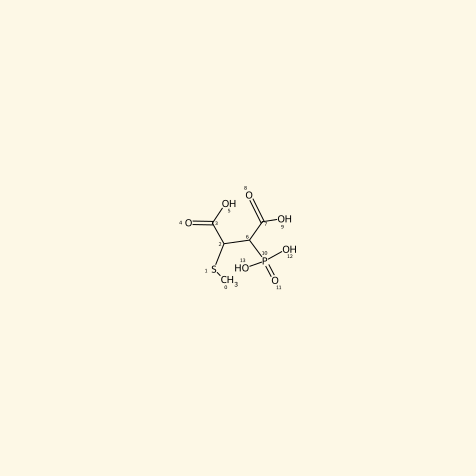 CSC(C(=O)O)C(C(=O)O)P(=O)(O)O